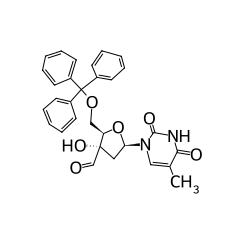 Cc1cn([C@H]2C[C@@](O)(C=O)[C@@H](COC(c3ccccc3)(c3ccccc3)c3ccccc3)O2)c(=O)[nH]c1=O